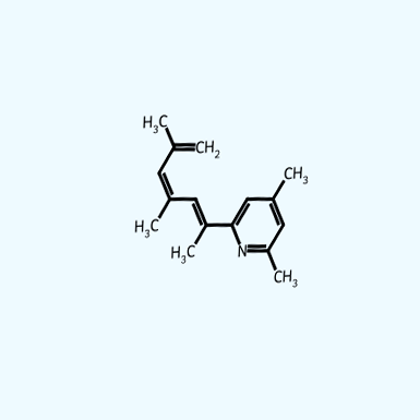 C=C(C)/C=C(C)\C=C(/C)c1cc(C)cc(C)n1